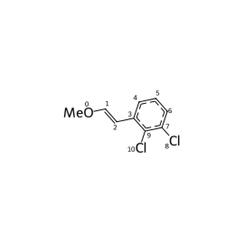 COC=Cc1cccc(Cl)c1Cl